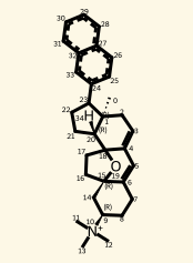 C[C@]12CC=C3C=C4CC[C@@H]([N+](C)(C)C)C[C@]45CCC3(O5)[C@@H]1CCC2c1ccc2ccccc2c1